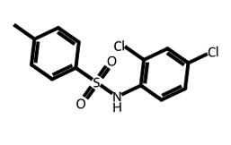 Cc1ccc(S(=O)(=O)Nc2ccc(Cl)cc2Cl)cc1